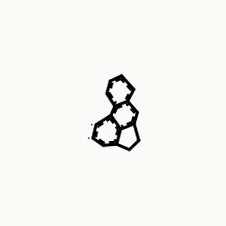 [c]1[c]c2c3c(c1)CCc3cc1ccccc12